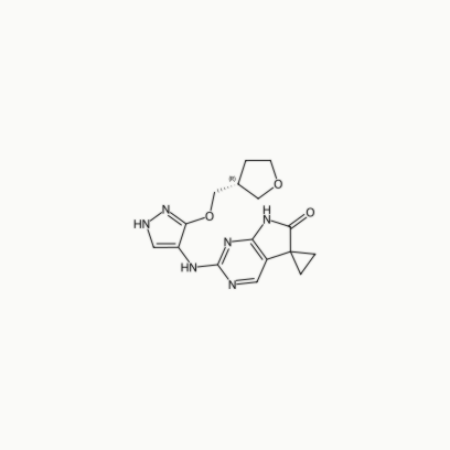 O=C1Nc2nc(Nc3c[nH]nc3OC[C@@H]3CCOC3)ncc2C12CC2